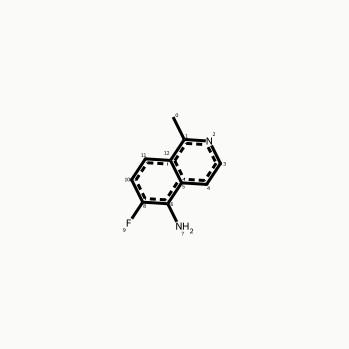 Cc1nccc2c(N)c(F)ccc12